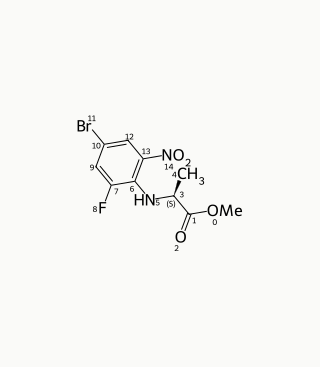 COC(=O)[C@H](C)Nc1c(F)cc(Br)cc1[N+](=O)[O-]